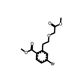 COC(=O)COCCc1cc(Br)ccc1C(=O)OC